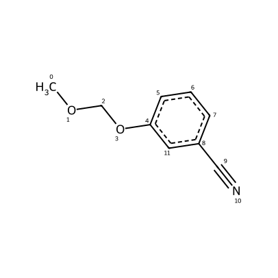 COCOc1cccc(C#N)c1